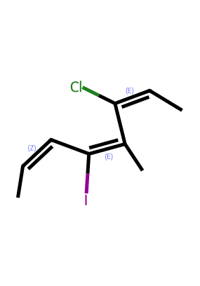 C\C=C/C(I)=C(C)\C(Cl)=C/C